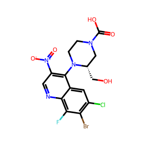 O=C(O)N1CCN(c2c([N+](=O)[O-])cnc3c(F)c(Br)c(Cl)cc23)[C@@H](CO)C1